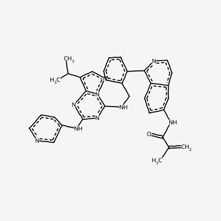 C=C(C)C(=O)Nc1ccc2c(-c3ccccc3CNc3nc(Nc4cccnc4)nc4c(C(C)C)cnn34)nccc2c1